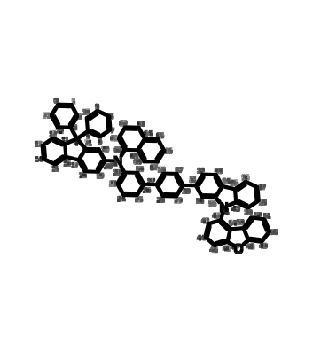 c1ccc(C2(c3ccccc3)c3ccccc3-c3ccc(N(c4cccc(-c5ccc(-c6ccc7c8ccccc8n(-c8cccc9oc%10ccccc%10c89)c7c6)cc5)c4)c4cccc5ccccc45)cc32)cc1